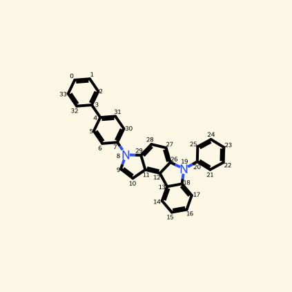 c1ccc(-c2ccc(-n3ccc4c5c6ccccc6n(-c6ccccc6)c5ccc43)cc2)cc1